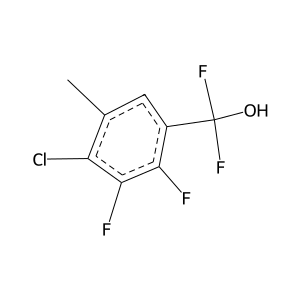 Cc1cc(C(O)(F)F)c(F)c(F)c1Cl